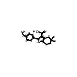 CC1(C)CCc2sc(-c3ccc(ON)cc3)c(C(=O)O)c2C1